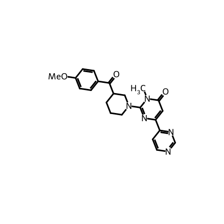 COc1ccc(C(=O)C2CCCN(c3nc(-c4ccncn4)cc(=O)n3C)C2)cc1